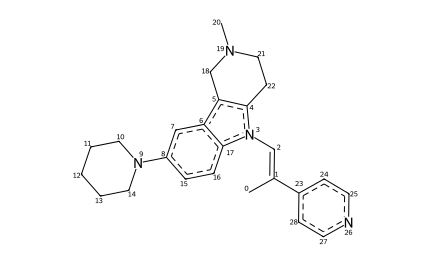 CC(=Cn1c2c(c3cc(N4CCCCC4)ccc31)CN(C)CC2)c1ccncc1